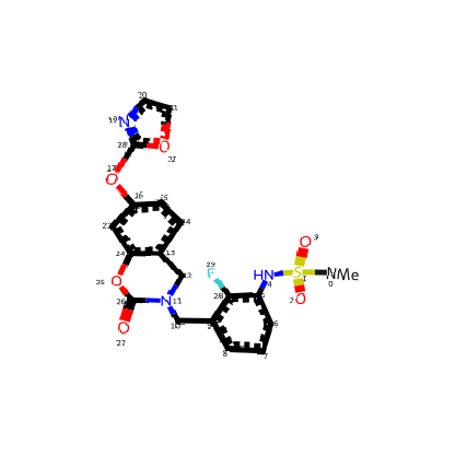 CNS(=O)(=O)Nc1cccc(CN2Cc3ccc(Oc4ncco4)cc3OC2=O)c1F